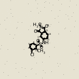 Cc1c(Cl)cccc1S(=O)(=O)Nc1ccc2c(c1)C(=O)N(C)C2=O